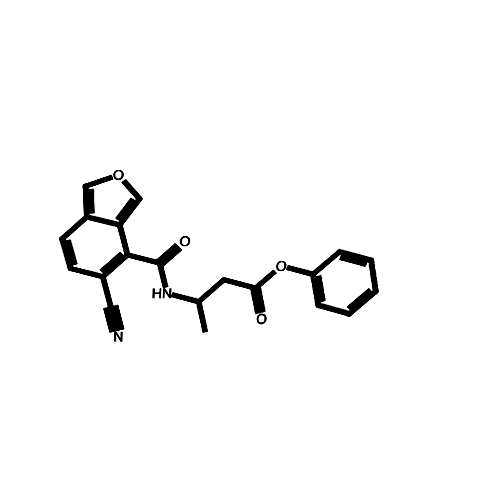 CC(CC(=O)Oc1ccccc1)NC(=O)c1c(C#N)ccc2cocc12